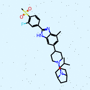 Cc1cc(C2CCN(C3CC4CCC(C3)N4CC(C)C)CC2)cc2[nH]c(-c3ccc(S(C)(=O)=O)c(F)c3)nc12